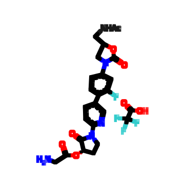 CC(=O)NCC1CN(c2ccc(-c3ccc(N4CC[C@H](OC(=O)CN)C4=O)nc3)c(F)c2)C(=O)O1.O=C(O)C(F)(F)F